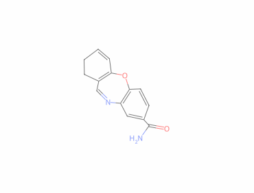 NC(=O)c1ccc2c(c1)N=CC1=C(C=CCC1)O2